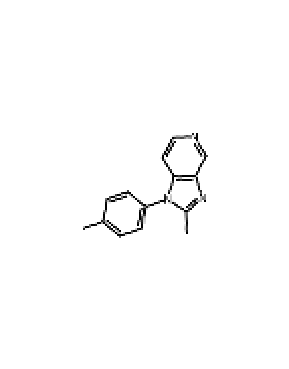 Cc1ccc(-n2c(C)nc3cnccc32)cc1